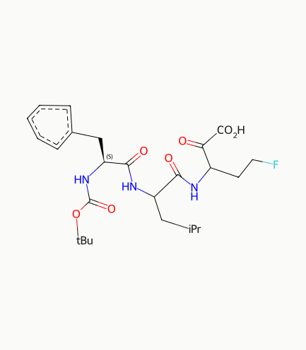 CC(C)CC(NC(=O)[C@H](Cc1ccccc1)NC(=O)OC(C)(C)C)C(=O)NC(CCF)C(=O)C(=O)O